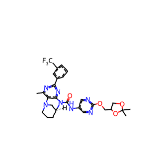 Cc1nc(-c2cccc(C(F)(F)F)c2)nc2c1N1CCC[C@@H](C1)N2C(=O)Nc1cnc(OCC2COC(C)(C)O2)nc1